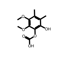 COc1c(C)c(C)c(O)c(OC(=O)O)c1OC